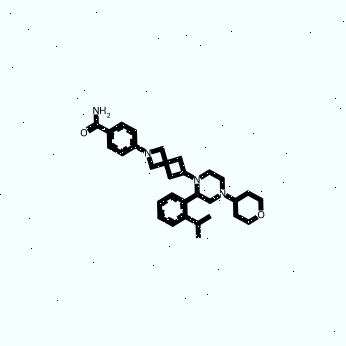 CC(C)c1ccccc1C1CN(C2CCOCC2)CCN1C1CC2(C1)CN(c1ccc(C(N)=O)cc1)C2